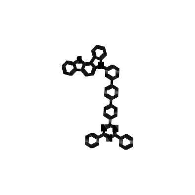 c1ccc(-c2nc(-c3ccccc3)nc(-c3ccc(-c4ccc(-c5cccc(-n6c7ccccc7c7c8sc9ccccc9c8ccc76)c5)cc4)cc3)n2)cc1